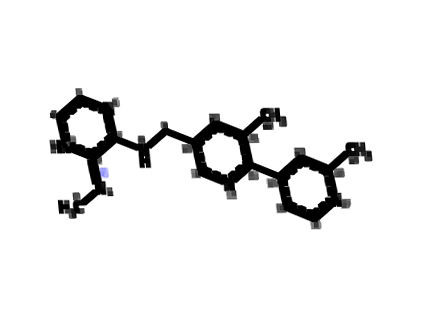 C/N=c1\[nH]ccnc1NCc1cnc(-c2ccnc(C)c2)c(C)c1